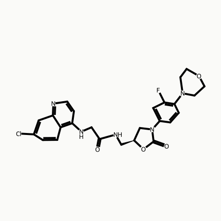 O=C(CNc1ccnc2cc(Cl)ccc12)NC[C@H]1CN(c2ccc(N3CCOCC3)c(F)c2)C(=O)O1